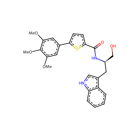 COc1cc(-c2ccc(C(=O)N[C@@H](CO)Cc3c[nH]c4ccccc34)s2)cc(OC)c1OC